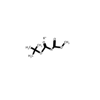 COC(=O)[N-]C(=O)OC(C)(C)C.[K+]